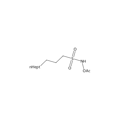 CCCCCCCCCCS(=O)(=O)NOC(C)=O